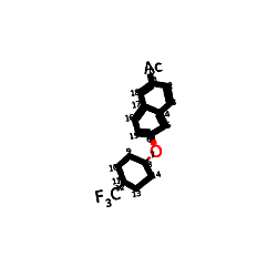 CC(=O)c1ccc2cc(O[C@H]3CC[C@@H](C(F)(F)F)CC3)ccc2c1